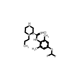 CCCN1CCNC[C@H]1C(=O)Nc1c(C)cc(OC(F)F)cc1C.Cl